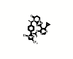 CCn1cc(C(F)(F)F)nc1-c1ccc([C@@H](C)N2C(=O)CCn3nc(-c4c(OC(F)F)ncnc4C4CC4)nc32)cc1